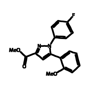 COC(=O)c1cc(-c2ccccc2OC)n(-c2ccc(F)cc2)n1